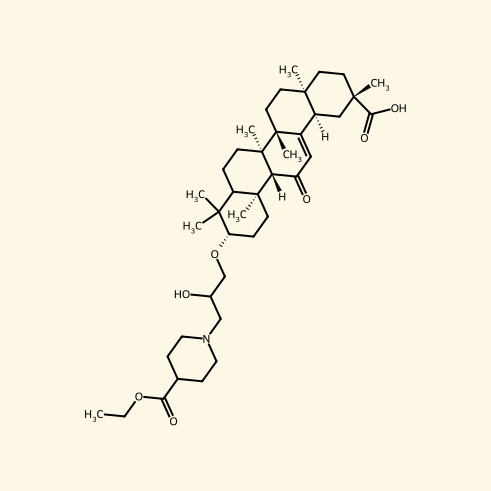 CCOC(=O)C1CCN(CC(O)CO[C@H]2CC[C@@]3(C)C(CC[C@]4(C)[C@@H]3C(=O)C=C3[C@@H]5C[C@@](C)(C(=O)O)CC[C@]5(C)CC[C@]34C)C2(C)C)CC1